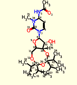 CC(=O)NC1C=CN([C@@H]2OC3CO[Si](C(C)C)(C(C)C)O[Si](C(C)C)(C(C)C)O[C@H]3[C@H]2O)C(=O)N1C